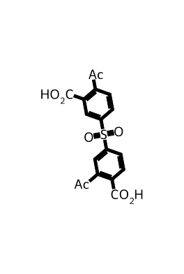 CC(=O)c1cc(S(=O)(=O)c2ccc(C(C)=O)c(C(=O)O)c2)ccc1C(=O)O